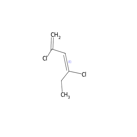 C=C(Cl)/C=C(/Cl)CC